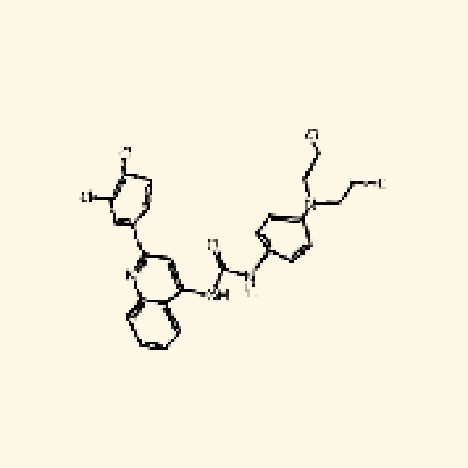 O=C(Nc1ccc(N(CCCl)CCCl)cc1)Nc1cc(-c2ccc(Cl)c(Cl)c2)nc2ccccc12